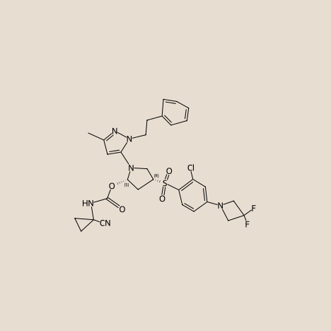 Cc1cc(N2C[C@H](S(=O)(=O)c3ccc(N4CC(F)(F)C4)cc3Cl)C[C@@H]2OC(=O)NC2(C#N)CC2)n(CCc2ccccc2)n1